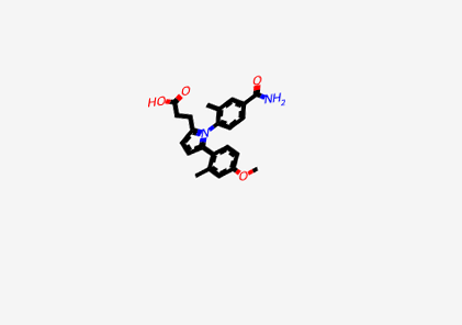 COc1ccc(-c2ccc(CCC(=O)O)n2-c2ccc(C(N)=O)cc2C)c(C)c1